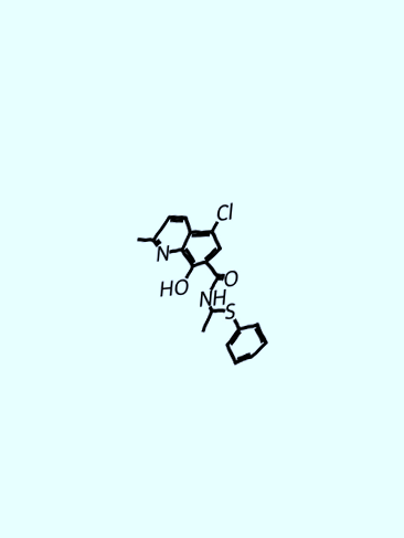 Cc1ccc2c(Cl)cc(C(=O)NC(C)Sc3ccccc3)c(O)c2n1